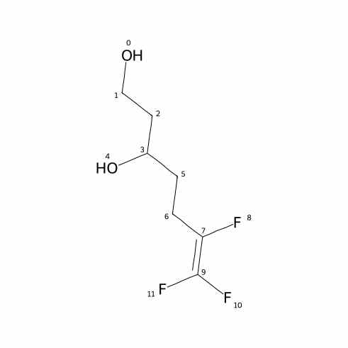 OCCC(O)CCC(F)=C(F)F